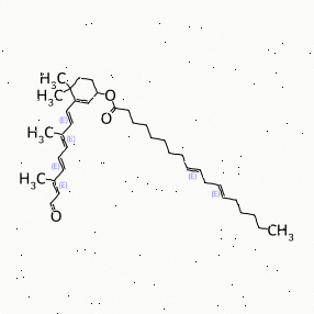 CCCCC/C=C/C/C=C/CCCCCCCC(=O)OC1C=C(/C=C/C(C)=C/C=C/C(C)=C/C=O)C(C)(C)CC1